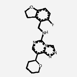 Fc1ccc2c(c1CNc1ncc(C3CCCCO3)c3nncn13)CCO2